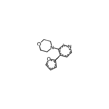 [c]1nccc(-c2ccco2)c1N1CCOCC1